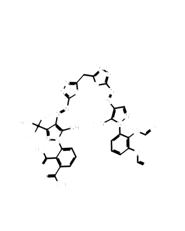 CC(C)(C)c1nn(-c2cccc(C(=O)O)c2C(=O)O)c(N)c1N=Nc1nnc(Cc2nnc(N=Nc3cnn(-c4cccc(OC=O)c4OC=O)c3N)s2)s1